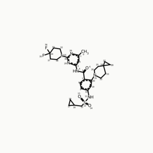 Cc1cc(NC(=O)c2ccc(NS(=O)(=O)CC3CC3)cc2N2CCC3(CC2)CC3)nc(N2CCC(F)(F)CC2)n1